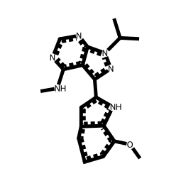 CNc1ncnc2c1c(-c1cc3cccc(OC)c3[nH]1)nn2C(C)C